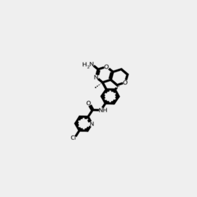 C[C@]1(c2cc(NC(=O)c3ccc(Cl)cn3)ccc2F)N=C(N)OC2=C1COCC2